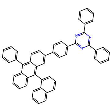 c1ccc(-c2nc(-c3ccccc3)nc(-c3ccc(-c4ccc5c(-c6ccccc6)c6ccccc6c(-c6cccc7ccccc67)c5c4)cc3)n2)cc1